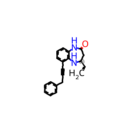 C=C[C@@H]1CC(=O)Nc2cccc(C#CCc3ccccc3)c2N1